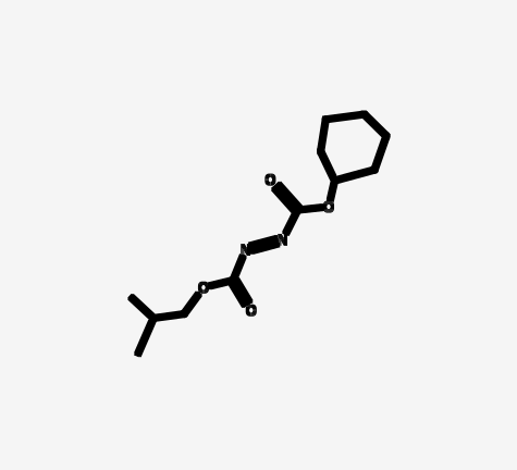 CC(C)COC(=O)N=NC(=O)OC1CCCCC1